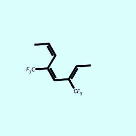 CC=C(/C=C(\C=C/C)C(F)(F)F)C(F)(F)F